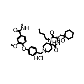 CCCCN1C(=O)[C@@H](CC2(O)CCCCC2)NC(=O)C12CCN(Cc1ccc(Oc3ccc(C(=O)NC)cc3OC)cc1)CC2.Cl